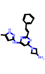 Cc1cc(Nc2cc(N3CC(N)C3)nc(/C=C/c3ccccc3)n2)n[nH]1